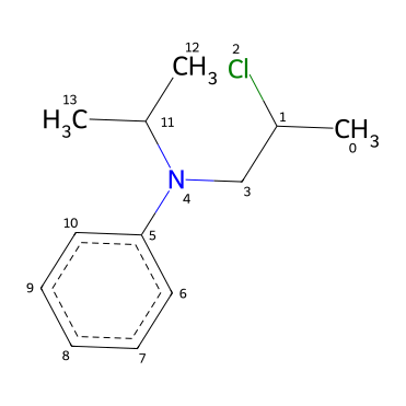 CC(Cl)CN(c1ccccc1)C(C)C